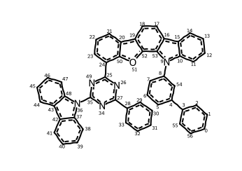 c1ccc(-c2cccc(-n3c4ccccc4c4ccc5c6cccc(-c7nc(-c8ccccc8)nc(-n8c9ccccc9c9ccccc98)n7)c6oc5c43)c2)cc1